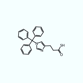 O=C(S)CCc1cn(C(c2ccccc2)(c2ccccc2)c2ccccc2)cn1